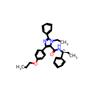 CCCOc1ccc(-c2nc(-c3ccccc3)n(CC)c2C(=O)N[C@@H](CC)c2ccccc2)cc1